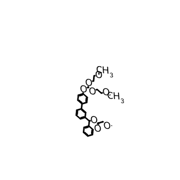 COCCOC(OCCOC)Oc1ccc(-c2cccc(C(OC(=O)C[O])c3ccccc3)c2)cc1